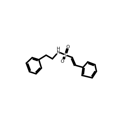 O=S(=O)(C=Cc1ccccc1)NCCc1ccccc1